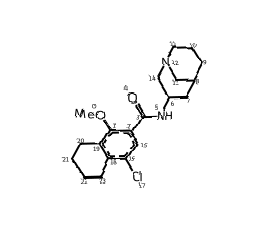 COc1c(C(=O)NC2CC3CCCN(C3)C2)cc(Cl)c2c1CCCC2